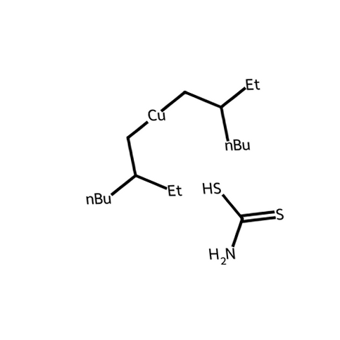 CCCCC(CC)[CH2][Cu][CH2]C(CC)CCCC.NC(=S)S